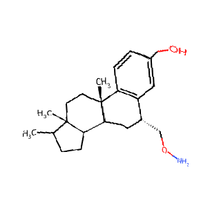 CC1CCC2C3C[C@@H](CON)c4cc(O)ccc4[C@@]3(C)CCC12C